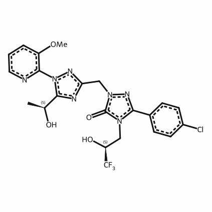 COc1cccnc1-n1nc(Cn2nc(-c3ccc(Cl)cc3)n(C[C@H](O)C(F)(F)F)c2=O)nc1[C@H](C)O